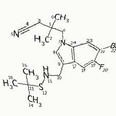 CC(C)(CC#N)Cn1cc(CNSC(C)(C)C)c2cc(F)c(Br)cc21